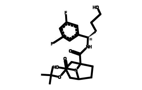 CC(C)(C)OC(=O)N1C2CCC1(C(=O)N[C@@H](CCCO)c1cc(F)cc(F)c1)CC(O)C2